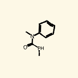 CPC(=O)N(C)c1ccccc1